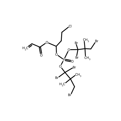 C=CC(=O)OC(CCCl)OP(=O)(OC(Br)(Br)C(C)(C)CBr)OC(Br)(Br)C(C)(C)CBr